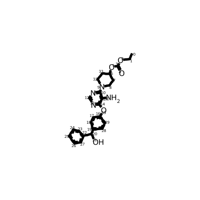 CCOC(=O)OC1CCN(c2ncnc(Oc3ccc(C(O)c4ccccc4)cc3)c2N)CC1